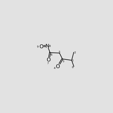 CC(C)C(=O)CC(=O)N=O